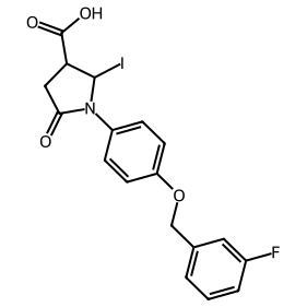 O=C(O)C1CC(=O)N(c2ccc(OCc3cccc(F)c3)cc2)C1I